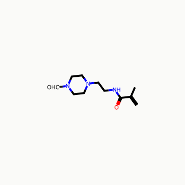 C=C(C)C(=O)NCCN1CCN(C=O)CC1